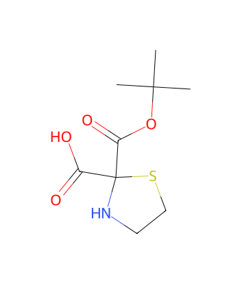 CC(C)(C)OC(=O)C1(C(=O)O)NCCS1